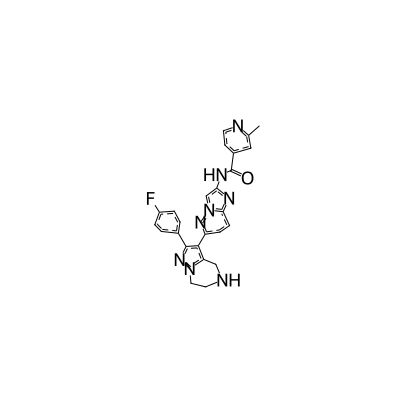 Cc1cc(C(=O)Nc2cn3nc(-c4c(-c5ccc(F)cc5)nn5c4CNCC5)ccc3n2)ccn1